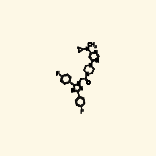 CN(c1cc(N2CCN(C(=O)Cn3nc(-c4ccc(F)cc4)nc3-c3ccc(F)cc3)CC2)ncn1)C1CC1